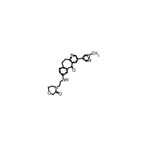 Cn1cc(-c2cnc3c(c2)C(=O)c2cc(NCCN4CCOCC4=O)ccc2CC3)cn1